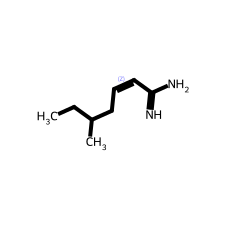 CCC(C)C/C=C\C(=N)N